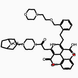 CN1C2CCC1CC(N1CCN(C(=O)CC3=C(C(=O)O)C(c4c(Cl)cccc4Cl)C(C(=O)O)=C(CCc4ccccc4COCCN4CCOCC4)N3)CC1)C2